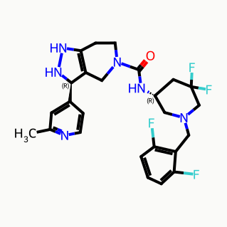 Cc1cc([C@H]2NNC3=C2CN(C(=O)N[C@H]2CN(Cc4c(F)cccc4F)CC(F)(F)C2)CC3)ccn1